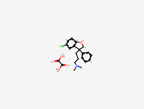 CN(C)CCCC1(c2ccccc2)COc2ccc(Cl)cc21.O=C(O)C(=O)O